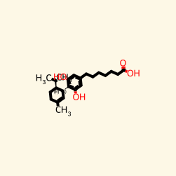 C=C(C)[C@@H]1CCC(C)=C[C@H]1c1c(O)cc(CCCCCCC(=O)O)cc1O